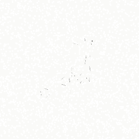 CCN(CCON=C1C=CC2NC=NC(Nc3ccc(OCc4cccc(F)c4)c(Cl)c3)=C2C1)C(=O)OC(C)(C)C